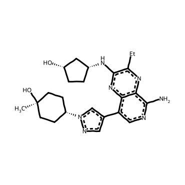 CCc1nc2c(N)ncc(-c3cnn([C@H]4CC[C@](C)(O)CC4)c3)c2nc1N[C@@H]1CC[C@H](O)C1